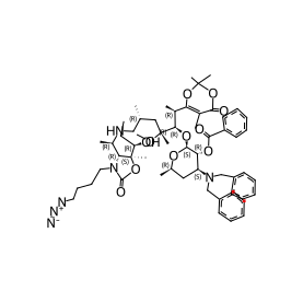 CC[C@@H](O)[C@@]1(C)OC(=O)N(CCCCN=[N+]=[N-])[C@@H]1[C@@H](C)NC[C@H](C)C[C@@](C)(OC)[C@H](O[C@@H]1O[C@H](C)C[C@H](N(Cc2ccccc2)Cc2ccccc2)[C@H]1OC(=O)c1ccccc1)[C@@H](C)C1=C(C)C(=O)OC(C)(C)O1